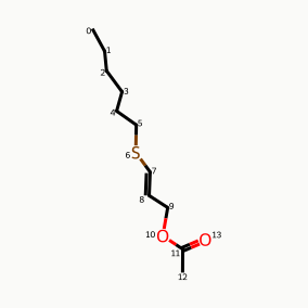 CCCCCCS/C=C/COC(C)=O